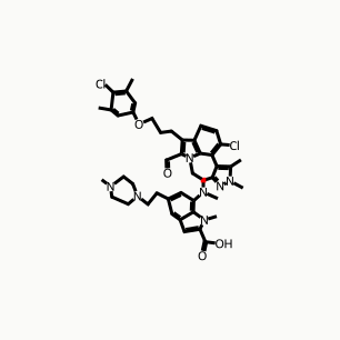 Cc1cc(OCCCc2c(C=O)n(CCN(C)c3cc(CCN4CCN(C)CC4)cc4cc(C(=O)O)n(C)c34)c3c(-c4c(C)nn(C)c4C)c(Cl)ccc23)cc(C)c1Cl